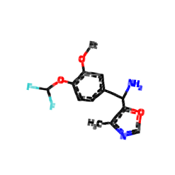 CCOc1cc(C(N)c2ocnc2C)ccc1OC(F)F